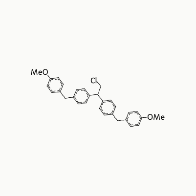 COc1ccc(Cc2ccc(C(CCl)c3ccc(Cc4ccc(OC)cc4)cc3)cc2)cc1